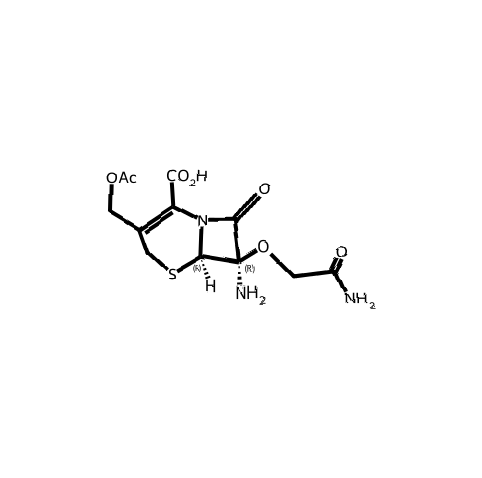 CC(=O)OCC1=C(C(=O)O)N2C(=O)[C@@](N)(OCC(N)=O)[C@H]2SC1